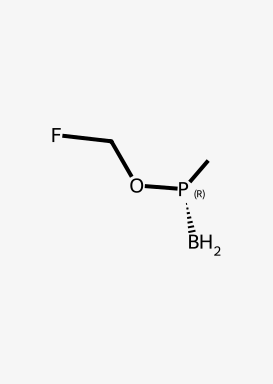 B[P@@](C)OCF